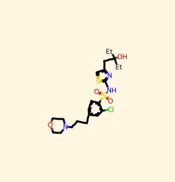 CCC(O)(CC)Cc1csc(NS(=O)(=O)c2ccc(CCCN3CCOCC3)cc2Cl)n1